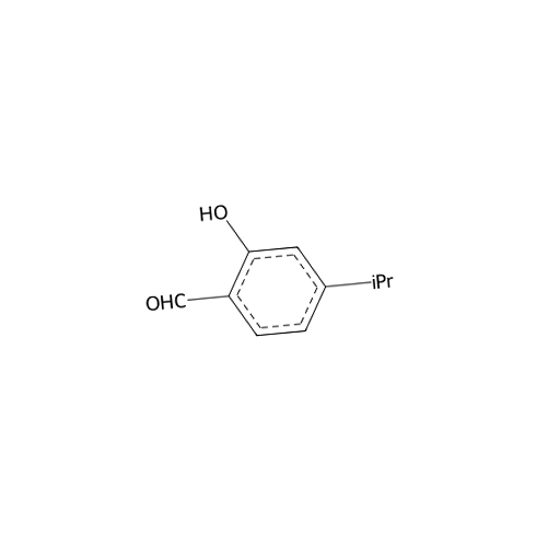 CC(C)c1ccc(C=O)c(O)c1